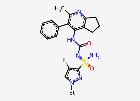 CCn1cc(F)c([S@@](N)(=O)=NC(=O)Nc2c3c(nc(C)c2-c2ccccc2)CCC3)n1